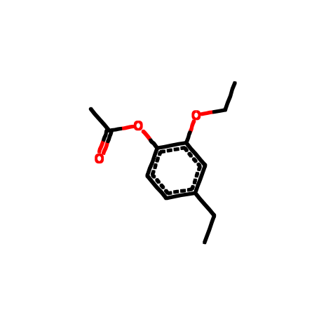 CCOc1cc(CC)ccc1OC(C)=O